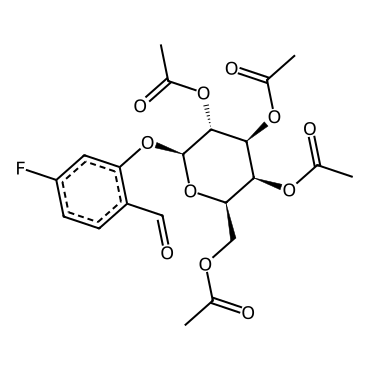 CC(=O)OC[C@H]1O[C@@H](Oc2cc(F)ccc2C=O)[C@H](OC(C)=O)[C@@H](OC(C)=O)[C@H]1OC(C)=O